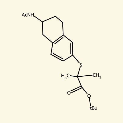 CC(=O)NC1CCc2cc(SC(C)(C)C(=O)OC(C)(C)C)ccc2C1